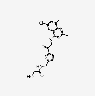 Cc1nc(SCC(=O)c2ccc(CNC(=O)CO)s2)c2cc(Cl)cc(F)c2n1